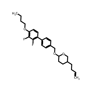 C=CCCC1CCC(OCc2ccc(-c3ccc(OCCCC)c(F)c3F)cc2)OC1